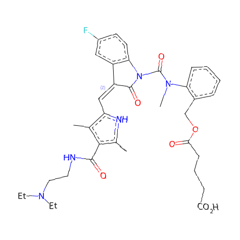 CCN(CC)CCNC(=O)c1c(C)[nH]c(/C=C2\C(=O)N(C(=O)N(C)c3ccccc3COC(=O)CCCC(=O)O)c3ccc(F)cc32)c1C